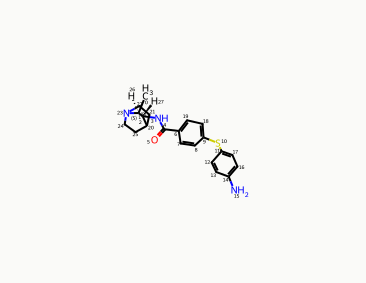 C[C@H]1[C@H](NC(=O)c2ccc(Sc3ccc(N)cc3)cc2)C2CCN1CC2